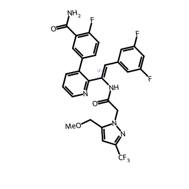 COCc1cc(C(F)(F)F)nn1CC(=O)N/C(=C\c1cc(F)cc(F)c1)c1ncccc1-c1ccc(F)c(C(N)=O)c1